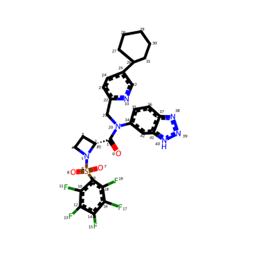 O=C([C@H]1CCN1S(=O)(=O)c1c(F)c(F)c(F)c(F)c1F)N(Cc1ccc(C2CCCCC2)cn1)c1ccc2nn[nH]c2c1